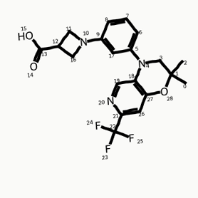 CC1(C)CN(c2cccc(N3CC(C(=O)O)C3)c2)c2cnc(C(F)(F)F)cc2O1